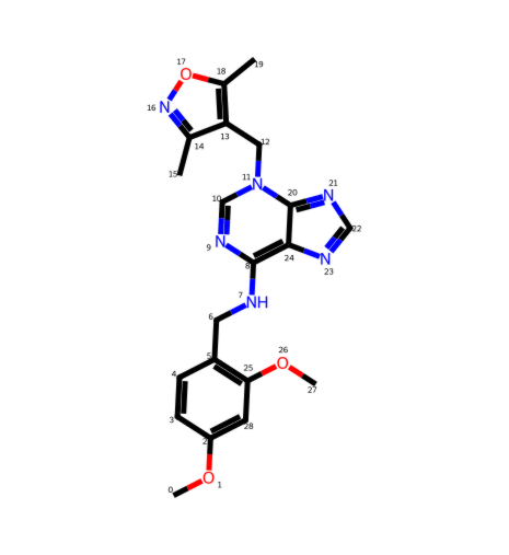 COc1ccc(CNc2ncn(Cc3c(C)noc3C)c3ncnc2-3)c(OC)c1